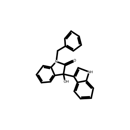 O=C1N(Cc2ccccc2)c2ccccc2C1(O)c1c[nH]c2ccccc12